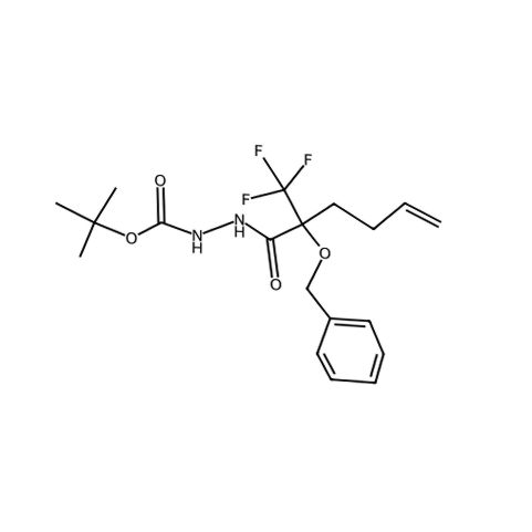 C=CCCC(OCc1ccccc1)(C(=O)NNC(=O)OC(C)(C)C)C(F)(F)F